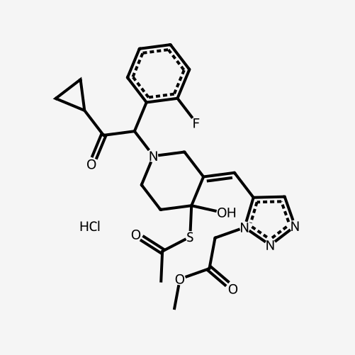 COC(=O)Cn1nncc1C=C1CN(C(C(=O)C2CC2)c2ccccc2F)CCC1(O)SC(C)=O.Cl